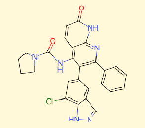 O=C(Nc1c(-c2cc(Cl)c3[nH]ncc3c2)c(-c2ccccc2)nc2[nH]c(=O)ccc12)N1CCCC1